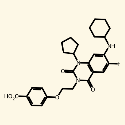 O=C(O)c1ccc(OCCn2c(=O)c3cc(F)c(NC4CCCCC4)cc3n(C3CCCC3)c2=O)cc1